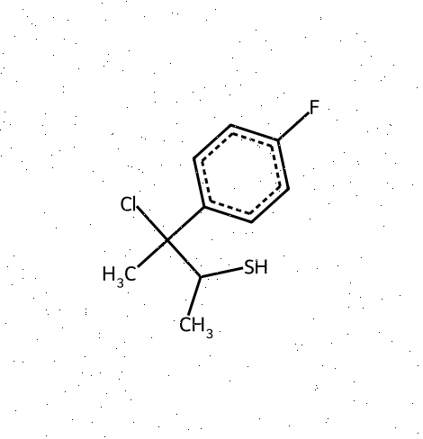 CC(S)C(C)(Cl)c1ccc(F)cc1